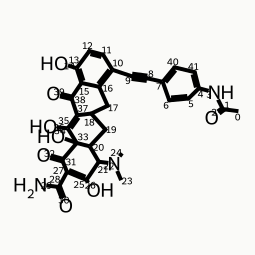 CC(=O)Nc1ccc(C#Cc2ccc(O)c3c2CC2CC4C(N(C)C)C(O)=C(C(N)=O)C(=O)C4(O)C(O)=C2C3=O)cc1